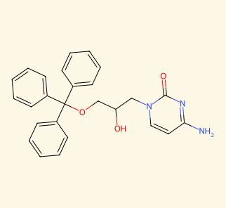 Nc1ccn(CC(O)COC(c2ccccc2)(c2ccccc2)c2ccccc2)c(=O)n1